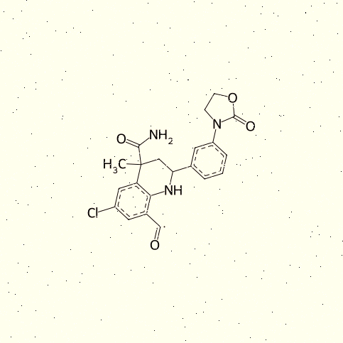 CC1(C(N)=O)CC(c2cccc(N3CCOC3=O)c2)Nc2c([C]=O)cc(Cl)cc21